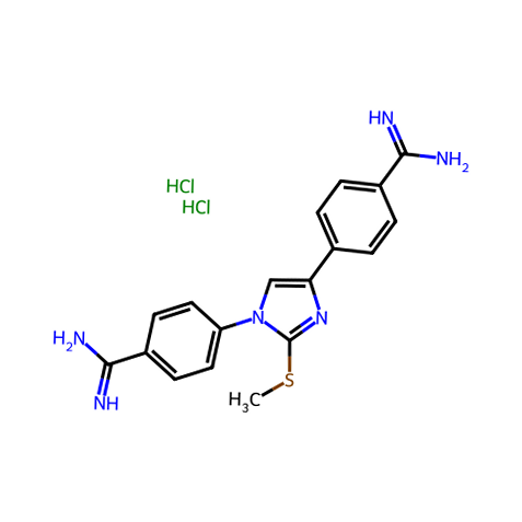 CSc1nc(-c2ccc(C(=N)N)cc2)cn1-c1ccc(C(=N)N)cc1.Cl.Cl